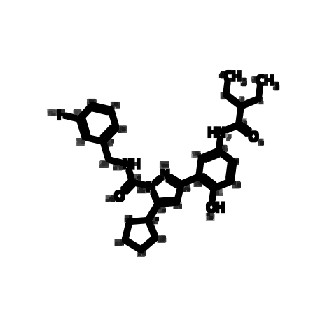 CCC(CC)C(=O)Nc1ccc(O)c(-c2cc(C3CCCC3)n(C(=O)NCc3cccc(F)c3)n2)c1